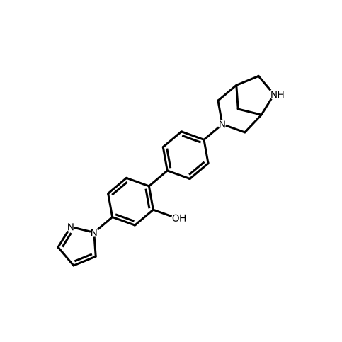 Oc1cc(-n2cccn2)ccc1-c1ccc(N2CC3CNC(C3)C2)cc1